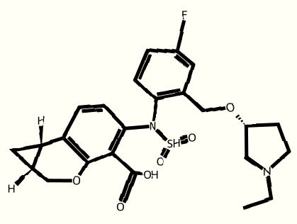 CCN1CC[C@@H](OCc2cc(F)ccc2N(c2ccc3c(c2C(=O)O)OC[C@@H]2C[C@H]32)[SH](=O)=O)C1